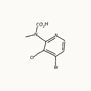 CN(C(=O)O)c1nccc(Br)c1Cl